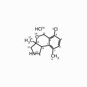 Cc1ccc(Cl)c2c1C1CNCC1(C)OC2.Cl